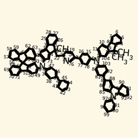 CC1(C)c2ccccc2-c2ccc(N(c3ccc(-c4ccc(CC5(C)c6ccccc6-c6ccc(N(c7ccc(-c8ccccc8)cc7)c7ccc8c(c7)C7(c9ccccc9-c9ccccc97)c7ccccc7-8)cc65)nc4)cc3)c3ccc(-c4ccc5c(c4)c4ccccc4n5-c4ccccc4)cc3)cc21